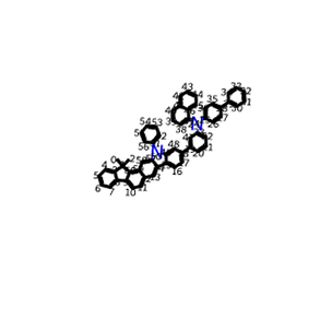 CC1(C)c2ccccc2-c2ccc3cc4c5ccc(-c6cccc(N(c7ccc(-c8ccccc8)cc7)c7cccc8ccccc78)c6)cc5n(-c5ccccc5)c4cc3c21